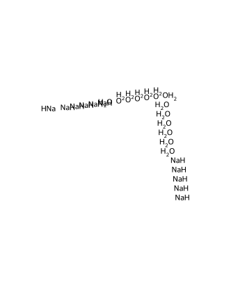 O.O.O.O.O.O.O.O.O.O.O.O.O.[NaH].[NaH].[NaH].[NaH].[NaH].[NaH].[NaH].[NaH].[NaH].[NaH].[NaH]